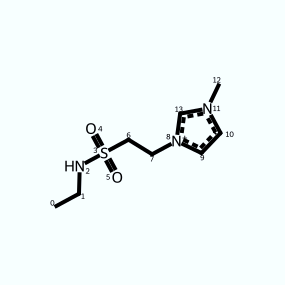 CCNS(=O)(=O)CC[n+]1ccn(C)c1